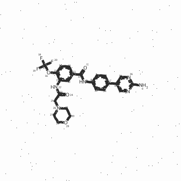 Nc1ncc(-c2ccc(NC(=O)c3ccc(OC(F)(F)F)c(NC(=O)CN4CCOCC4)c3)cc2)cn1